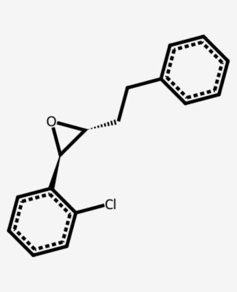 Clc1ccccc1[C@H]1O[C@@H]1CCc1ccccc1